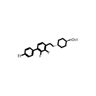 CCCCCCCC[C@H]1CC[C@H](CCc2ccc(-c3ccc(CC)cc3)c(F)c2F)CC1